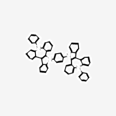 c1ccc(N2c3ccccc3-c3c(n(-c4ccc(-n5c6c(c7ccccc75)-c5ccccc5N(c5ccccc5)c5ccccc5-6)cc4)c4ccccc34)-c3ccccc32)cc1